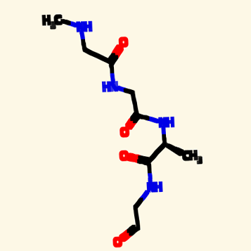 CNCC(=O)NCC(=O)N[C@@H](C)C(=O)NCC=O